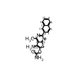 Cc1nc(-c2ccc3ccccc3c2)nc2sc(OC(N)=O)c(N)c12